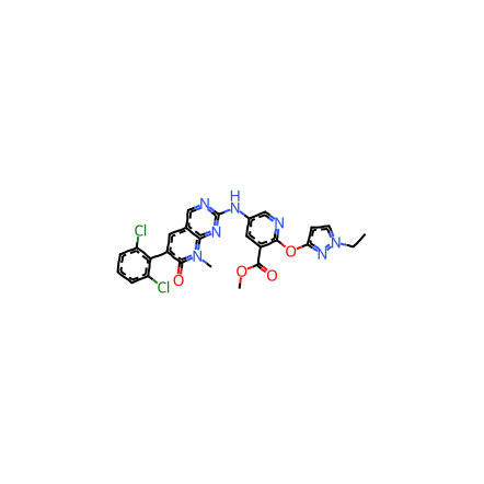 CCn1ccc(Oc2ncc(Nc3ncc4cc(-c5c(Cl)cccc5Cl)c(=O)n(C)c4n3)cc2C(=O)OC)n1